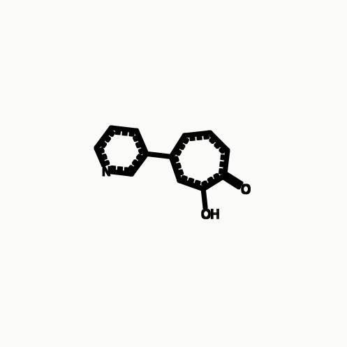 O=c1cccc(-c2cccnc2)cc1O